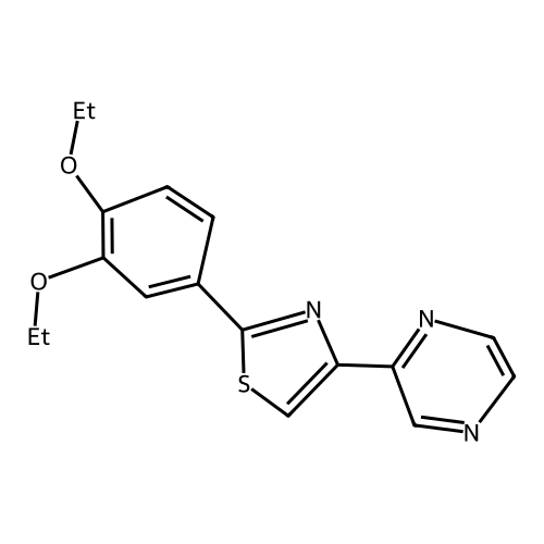 CCOc1ccc(-c2nc(-c3cnccn3)cs2)cc1OCC